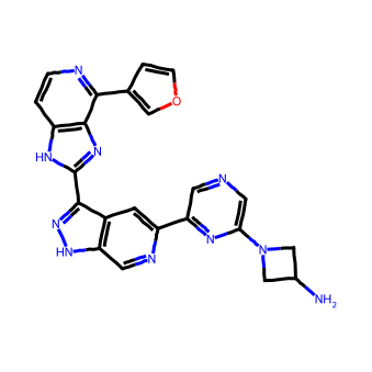 NC1CN(c2cncc(-c3cc4c(-c5nc6c(-c7ccoc7)nccc6[nH]5)n[nH]c4cn3)n2)C1